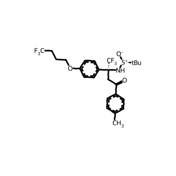 Cc1ccc(C(=O)C[C@](N[S@@+]([O-])C(C)(C)C)(c2ccc(OCCCC(F)(F)F)cc2)C(F)(F)F)cc1